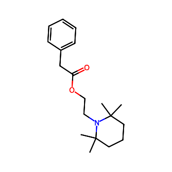 CC1(C)CCCC(C)(C)N1CCOC(=O)Cc1ccccc1